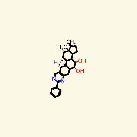 C=C1CCC2C3C(CC[C@]12C)[C@@]1(C)Cc2cnc(-c4ccccc4)nc2CC1[C@@H](O)[C@@H]3O